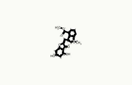 COC(=O)c1cccc2c1c(C=C1Oc3cc(O)cc(O)c3C1=O)cn2C